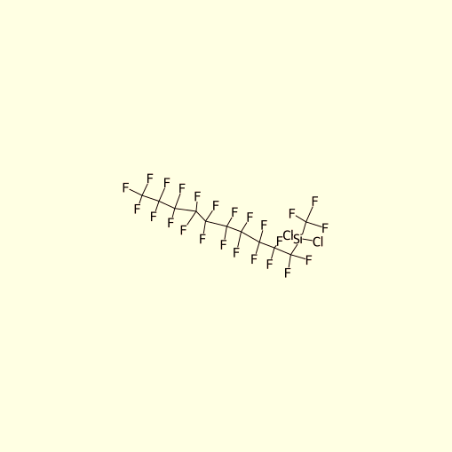 FC(F)(F)C(F)(F)C(F)(F)C(F)(F)C(F)(F)C(F)(F)C(F)(F)C(F)(F)C(F)(F)C(F)(F)[Si](Cl)(Cl)C(F)(F)F